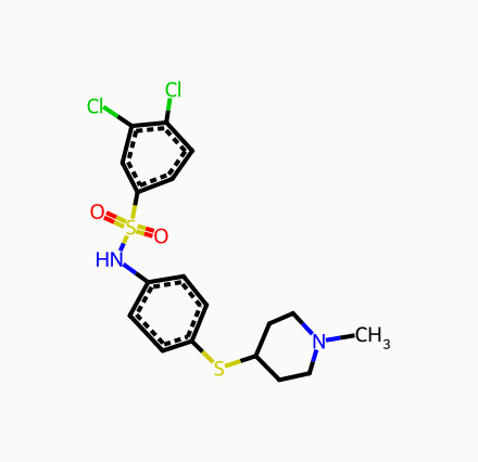 CN1CCC(Sc2ccc(NS(=O)(=O)c3ccc(Cl)c(Cl)c3)cc2)CC1